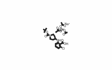 CC(=O)O[BH-](OC(C)=O)OC(C)=O.CC(C)(C)OC(=O)N1CCC(Nc2cccc(Cl)c2C(=O)O)CC1.[Na+]